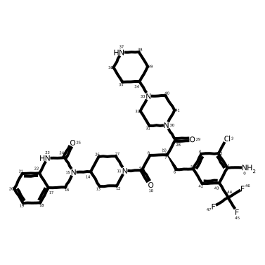 Nc1c(Cl)cc(C[C@@H](CC(=O)N2CCC(N3Cc4ccccc4NC3=O)CC2)C(=O)N2CCN(C3CCNCC3)CC2)cc1C(F)(F)F